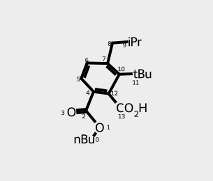 CCCCOC(=O)c1ccc(CC(C)C)c(C(C)(C)C)c1C(=O)O